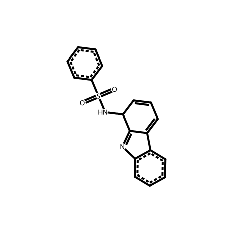 O=S(=O)(NC1C=CC=C2C1=Nc1ccccc12)c1ccccc1